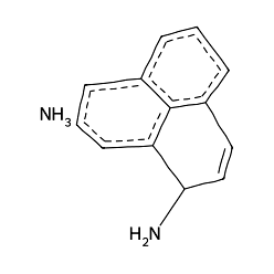 N.NC1C=Cc2cccc3cccc1c23